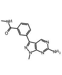 CNC(=O)c1cccc(-c2nn(C)c3nc(N)ncc23)c1